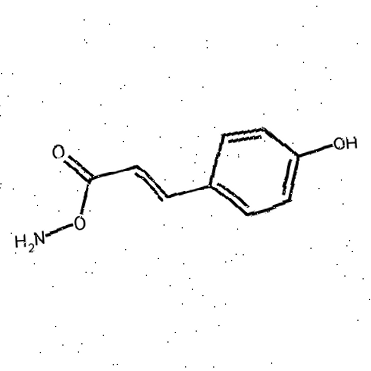 NOC(=O)/C=C/c1ccc(O)cc1